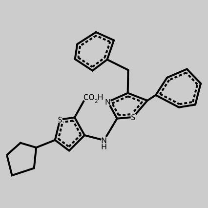 O=C(O)c1sc(C2CCCC2)cc1Nc1nc(Cc2ccccc2)c(-c2ccccc2)s1